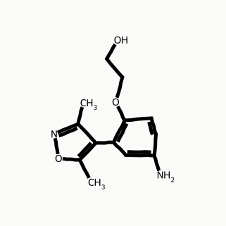 Cc1noc(C)c1-c1cc(N)ccc1OCCO